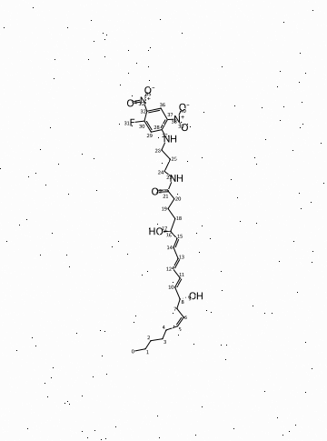 CCCCC/C=C\C[C@@H](O)/C=C/C=CC=C[C@@H](O)CCCC(=O)NCCCNc1cc(F)c([N+](=O)[O-])cc1[N+](=O)[O-]